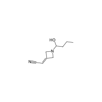 CCCC(O)N1CC(=CC#N)C1